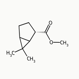 COC(=O)[C@H]1CCC2C1C2(C)C